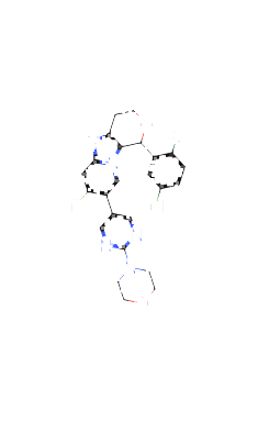 Fc1cc2nc3c(n2cc1-c1cnc(N2CCOCC2)nc1)C(c1cc(Cl)ccc1Cl)OCC3